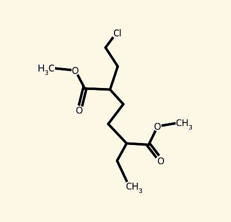 CCC(CCC(CCCl)C(=O)OC)C(=O)OC